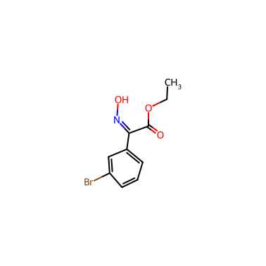 CCOC(=O)C(=NO)c1cccc(Br)c1